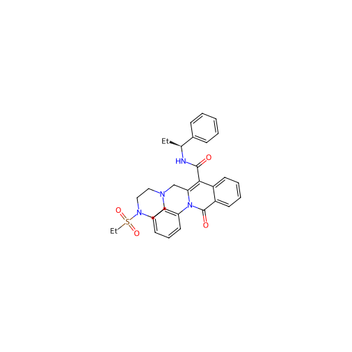 CC[C@H](NC(=O)c1c(CN2CCN(S(=O)(=O)CC)CC2)n(-c2ccccc2)c(=O)c2ccccc12)c1ccccc1